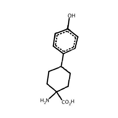 NC1(C(=O)O)CCC(c2ccc(O)cc2)CC1